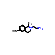 COc1ccc2c(c1)CCN(CCN)C2C